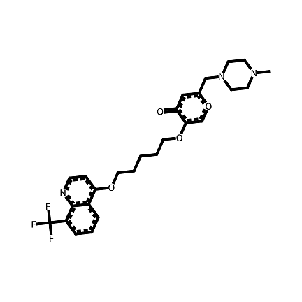 CN1CCN(Cc2cc(=O)c(OCCCCCOc3ccnc4c(C(F)(F)F)cccc34)co2)CC1